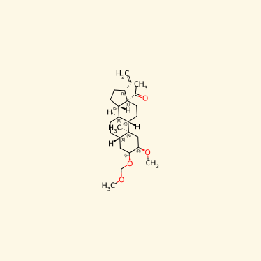 C=C[C@H]1CC[C@H]2[C@@H]3CC[C@H]4C[C@H](OCOC)[C@H](OC)C[C@]4(C)[C@H]3CC[C@]12C(C)=O